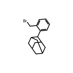 BrCc1ccccc1C1C2CC3CC(C2)CC1C3